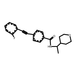 CC(NC(=O)c1ccc(C#Cc2ccccc2F)cc1)C1CCOCC1